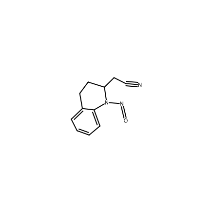 N#CCC1CCc2ccccc2N1N=O